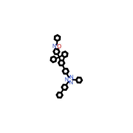 c1ccc(-c2ccc(-c3nc(-c4ccccc4)nc(-c4ccc(-c5ccc6c(c5)-c5ccccc5C6(c5ccccc5)c5ccc6nc(-c7ccccc7)oc6c5)cc4)n3)cc2)cc1